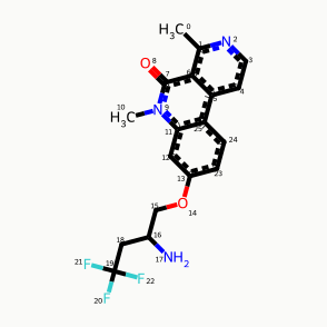 Cc1nccc2c1c(=O)n(C)c1cc(OCC(N)CC(F)(F)F)ccc21